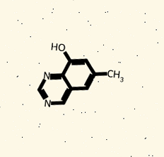 Cc1cc(O)c2ncncc2c1